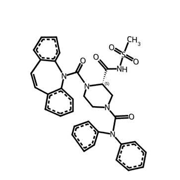 CS(=O)(=O)NC(=O)[C@@H]1CN(C(=O)N(c2ccccc2)c2ccccc2)CCN1C(=O)N1c2ccccc2C=Cc2ccccc21